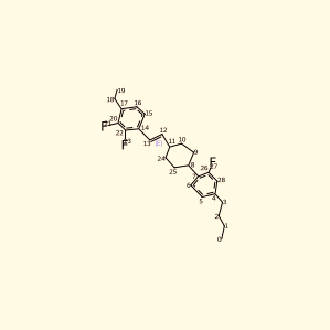 CCCCc1ccc(C2CCC(/C=C/c3ccc(CC)c(F)c3F)CC2)c(F)c1